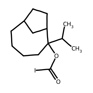 CC(C)C1(OC(=O)I)CCCCC2CCC1C2